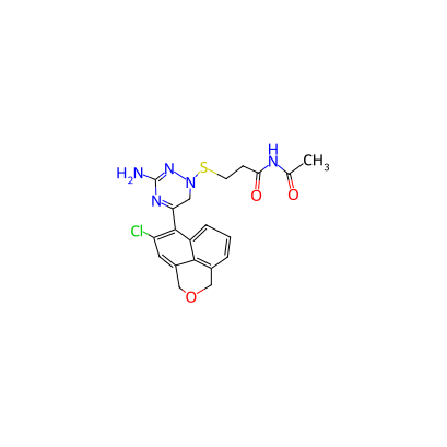 CC(=O)NC(=O)CCSN1CC(c2c(Cl)cc3c4c(cccc24)COC3)=NC(N)=N1